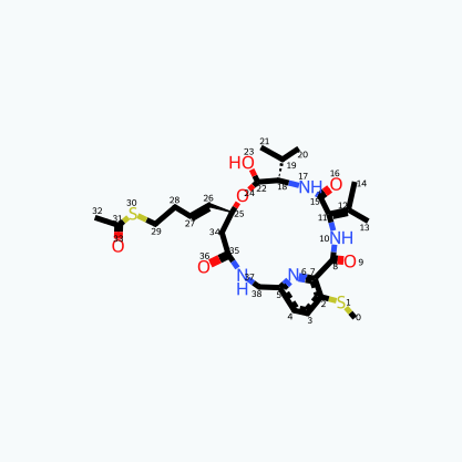 CSc1ccc2nc1C(=O)NC(=C(C)C)C(=O)N[C@@H](C(C)C)C(O)O[C@H](/C=C/CCSC(C)=O)CC(=O)NC2